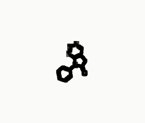 O=C1Cc2cnnnc2N1c1ccccc1